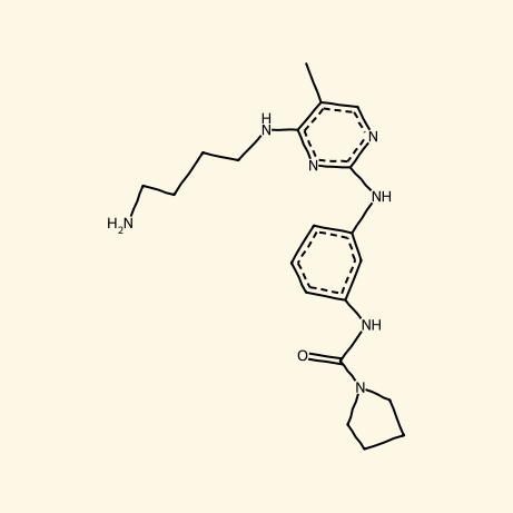 Cc1cnc(Nc2cccc(NC(=O)N3CCCC3)c2)nc1NCCCCN